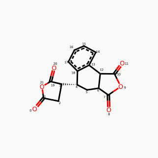 O=C1CC([C@H]2CC3C(=O)OC(=O)C3c3ccccc32)C(=O)O1